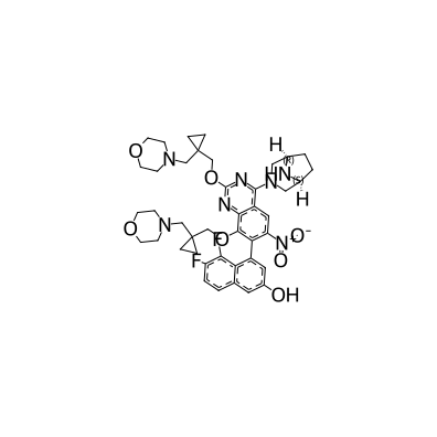 O=[N+]([O-])c1cc2c(N3C[C@H]4CC[C@@H](C3)N4)nc(OCC3(CN4CCOCC4)CC3)nc2c(OCC2(CN3CCOCC3)CC2)c1-c1cc(O)cc2ccc(F)c(F)c12